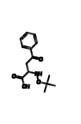 CC(C)(C)ONC(CC(=O)c1ccccc1)C(=O)O